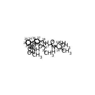 CCCC(=O)N(CCC(=O)N[C@@H](CS)CC(C)C)Cc1ccc(-c2ccccc2S(=O)(=O)NC(C)=O)cc1